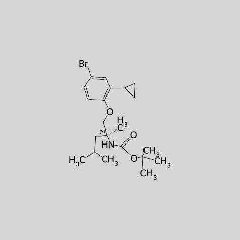 CC(C)C[C@@](C)(COc1ccc(Br)cc1C1CC1)NC(=O)OC(C)(C)C